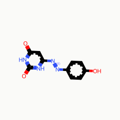 O=c1cc(/N=N/c2ccc(O)cc2)[nH]c(=O)[nH]1